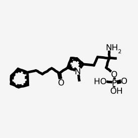 Cn1c(CCC(C)(N)COP(=O)(O)O)ccc1C(=O)CCCc1ccccc1